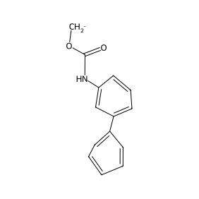 [CH2]OC(=O)Nc1cccc(-c2ccccc2)c1